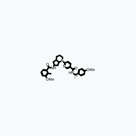 COc1ccc([C@H](C)NC(=O)c2ccc(N3CCCC4CC(NC(=O)c5cccc(OC)c5C)CC43)nc2)cc1